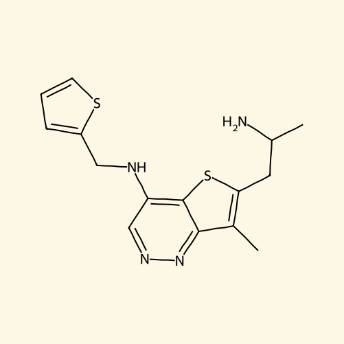 Cc1c(CC(C)N)sc2c(NCc3cccs3)cnnc12